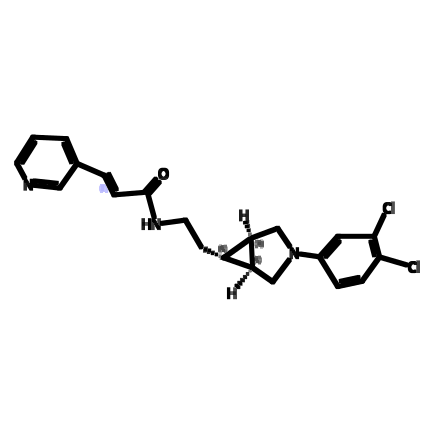 O=C(/C=C/c1cccnc1)NCC[C@@H]1[C@H]2CN(c3ccc(Cl)c(Cl)c3)C[C@@H]12